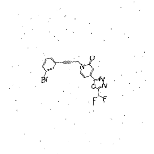 O=c1cc(-c2nnc(C(F)F)o2)ccn1CC#Cc1cccc(Br)c1